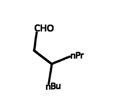 CCCCC(CC=O)CCC